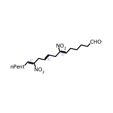 CCCCC/C=C(/C/C=C/C/C(=C/CCCC[C]=O)[N+](=O)[O-])[N+](=O)[O-]